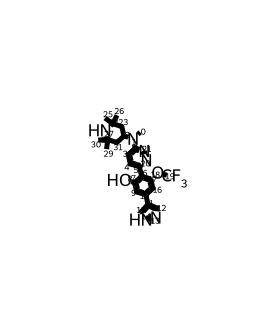 CN(c1ccc(-c2c(O)cc(-c3cn[nH]c3)cc2OC(F)(F)F)nn1)C1CC(C)(C)NC(C)(C)C1